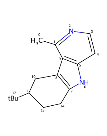 Cc1nccc2[nH]c3c(c12)CC(C(C)(C)C)CC3